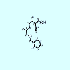 CC(CC[C@H](C)COCc1ccccc1)/C(C#N)=C/O